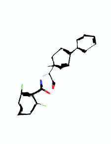 N#CC1(C2COC(c3c(F)cccc3F)=N2)C=CC(c2ccccc2)=CC1